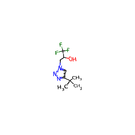 CC(C)(C)c1cn(CC(O)C(F)(F)F)nn1